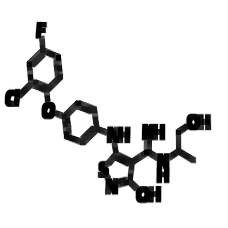 CC(CO)NC(=N)c1c(O)nsc1Nc1ccc(Oc2ccc(F)cc2Cl)cc1